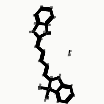 CC[N+]1(CC)c2ccccc2OC1C=CC=CC=C1Nc2ccccc2O1.[I-]